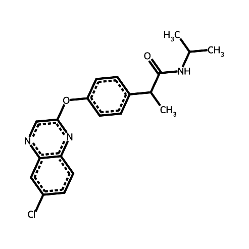 CC(C)NC(=O)C(C)c1ccc(Oc2cnc3cc(Cl)ccc3n2)cc1